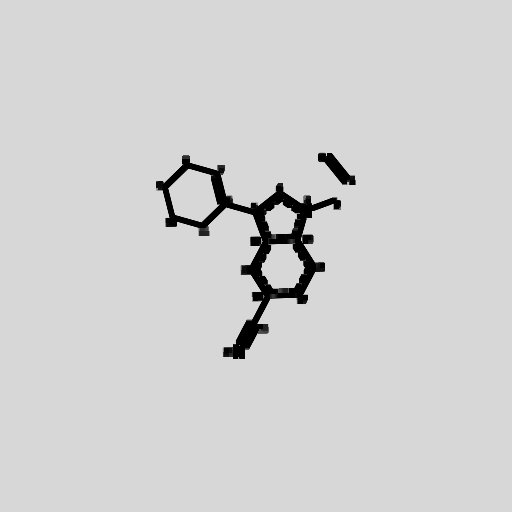 C=C.Cn1cc(C2=CCCCC2)c2cc(C#N)ccc21